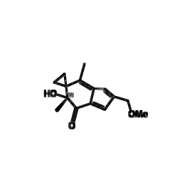 COCC1=CC2=C(C)C3(CC3)[C@@](C)(O)C(=O)C2=C1